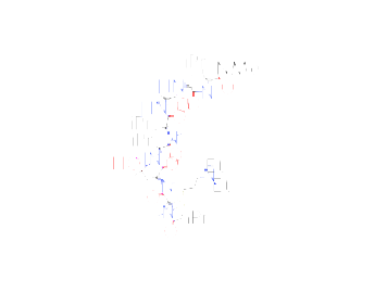 CCCC(=O)N(C)[C@H](SCCCN(CC)CC)C(=O)N(C)[C@@H](CC(C)(C)O)C(=O)N[C@H](C(=O)N(C)[C@@H](CC(C)C)C(=O)N[C@@H](C)C(=O)N[C@@H](C)C(=O)N(C)[C@@H](CC(C)C)C(=O)NC)C(C)C